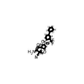 CO[C@H]1C[C@@H](S(=O)(=O)c2ccc(-c3ccccc3)cc2C(F)(F)F)C[C@]1(C(=O)O)C1CC1(C#N)C(N)=O